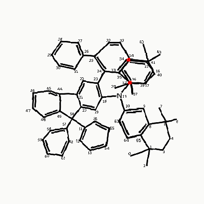 CC1(C)CCC(C)(C)c2cc(N(c3ccccc3)c3cc4c(cc3-c3c(-c5ccccc5)ccc5c3C(C)(C)CCC5(C)C)-c3ccccc3C4(c3ccccc3)c3ccccc3)ccc21